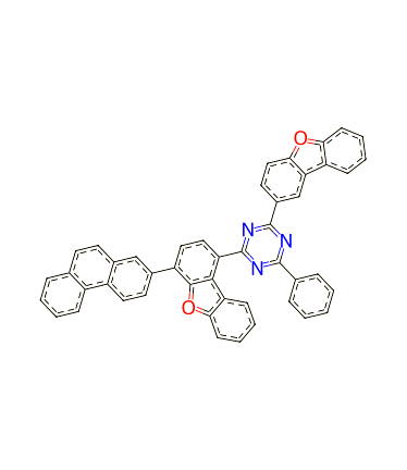 c1ccc(-c2nc(-c3ccc4oc5ccccc5c4c3)nc(-c3ccc(-c4ccc5c(ccc6ccccc65)c4)c4oc5ccccc5c34)n2)cc1